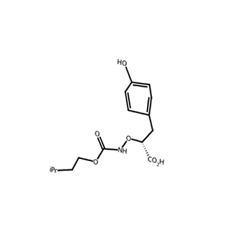 CC(C)CCOC(=O)NO[C@H](Cc1ccc(O)cc1)C(=O)O